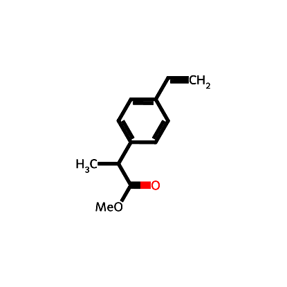 C=Cc1ccc(C(C)C(=O)OC)cc1